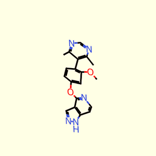 COc1cc(Oc2nccc3[nH]ncc23)ccc1-c1c(C)ncnc1C